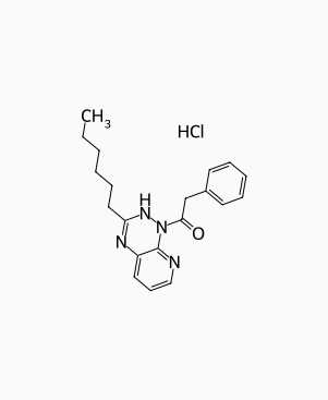 CCCCCCC1=Nc2cccnc2N(C(=O)Cc2ccccc2)N1.Cl